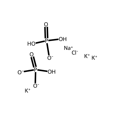 O=P([O-])(O)O.O=P([O-])([O-])O.[Cl-].[K+].[K+].[K+].[Na+]